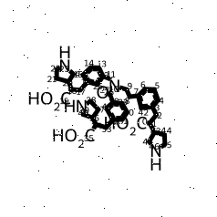 O=C(O)C(Cc1cccc(CCN(Cc2cccc(CC(C(=O)O)C3CCNC3)c2)C(=O)c2cccc(CC(C(=O)O)C3CCNC3)c2)c1)C1CCNC1